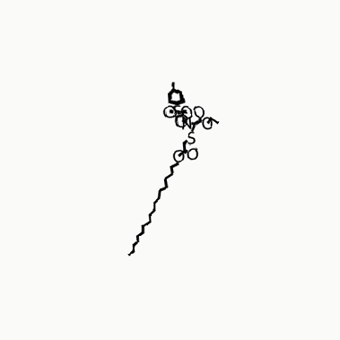 CCCCCCCCCCCCCCCCCCOC(=O)CSC1C(C(=O)OCC)N1OS(=O)(=O)c1ccc(C)cc1